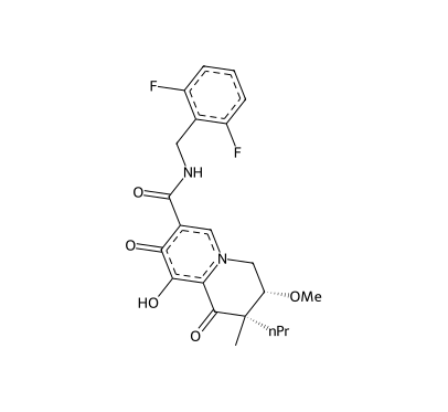 CCC[C@]1(C)C(=O)c2c(O)c(=O)c(C(=O)NCc3c(F)cccc3F)cn2C[C@@H]1OC